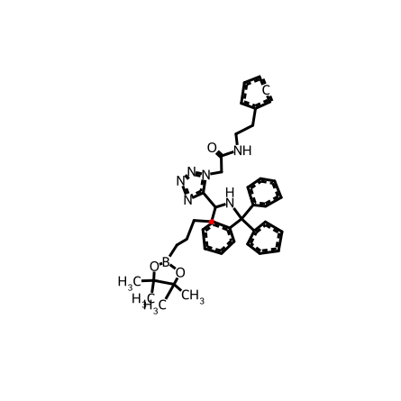 CC1(C)OB(CCCCC(NC(c2ccccc2)(c2ccccc2)c2ccccc2)c2nnnn2CC(=O)NCCc2ccccc2)OC1(C)C